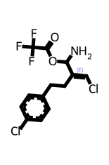 NC(OC(=O)C(F)(F)F)/C(=C/Cl)CCc1ccc(Cl)cc1